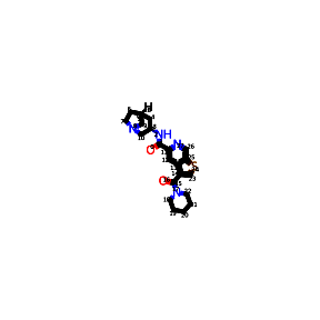 O=C(N[C@@H]1C[C@H]2CCN(C2)C1)c1cc2c(C(=O)N3CCCCC3)csc2cn1